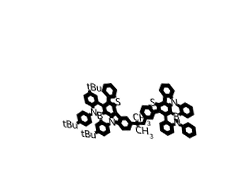 CC(C)(C)c1ccc(N2B3c4cc(C(C)(C)C)ccc4-n4c5ccc(C(C)(C)Cc6ccc7sc8c(c9c%10c%11c8c8ccccc8n%11-c8ccccc8B%10N(c8ccccc8)c8ccccc8-9)c7c6)cc5c5c6sc7ccccc7c6c(c3c54)-c3cc(C(C)(C)C)ccc32)cc1